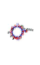 C/C=C/C[C@@H](C)[C@@H](O)[C@H]1C(=O)N[C@@H](CC)C(=O)N(C)[C@H](C)C(=O)N(C)[C@@H]([C@H](C)CN2CCO[C@H](COC)C2)C(=O)N[C@@H](C(C)C)C(=O)N(C)[C@@H](CC(C)C)C(=O)N[C@@H](C)C(=O)N[C@H](C)C(=O)N(C)[C@@H](CC(C)C)C(=O)N(C)[C@@H](CC(C)C)C(=O)N(C)[C@@H](C(C)C)C(=O)N1C